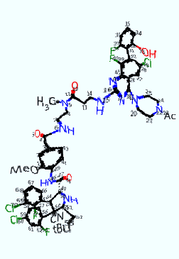 COc1cc(C(=O)NCCN(C)C(=O)CCNc2nc(N3CCN(C(C)=O)CC3)c3cc(Cl)c(-c4c(O)cccc4F)c(F)c3n2)ccc1NC(=O)[C@@H]1N[C@@H](CC(C)(C)C)[C@](C#N)(c2ccc(Cl)cc2F)[C@H]1c1cccc(Cl)c1F